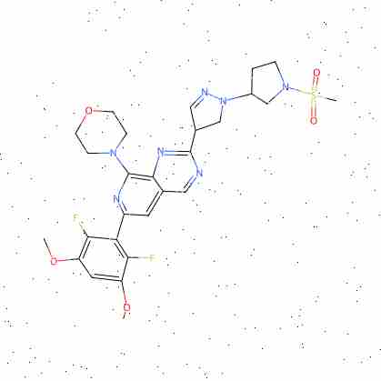 COc1cc(OC)c(F)c(-c2cc3cnc(C4C=NN(C5CCN(S(C)(=O)=O)C5)C4)nc3c(N3CCOCC3)n2)c1F